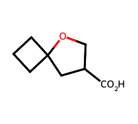 O=C(O)C1COC2(CCC2)C1